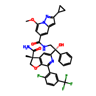 COc1cc(C(=O)NC[C@@](O)(c2ccccc2)c2cc3c(c(-c4cc(C(F)(F)F)ccc4F)n2)OC[C@]3(C)C(N)=O)cc2cc(C3CC3)nn12